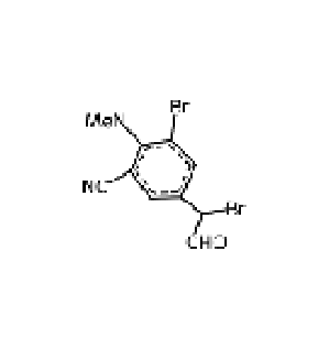 CNc1c(Br)cc(C(Br)C=O)cc1C#N